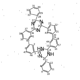 c1ccc(C2=NC(c3ccccc3)NC(c3cccc(-c4cccc(-c5nc(-c6ccccc6)nc(-c6ccccc6)n5)c4)c3)N2)cc1